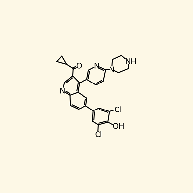 O=C(c1cnc2ccc(-c3cc(Cl)c(O)c(Cl)c3)cc2c1-c1ccc(N2CCNCC2)nc1)C1CC1